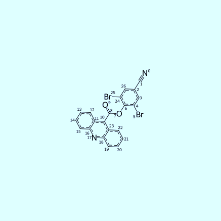 N#Cc1cc(Br)c(OC(=O)c2c3ccccc3nc3ccccc23)c(Br)c1